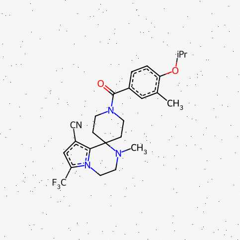 Cc1cc(C(=O)N2CCC3(CC2)c2c(C#N)cc(C(F)(F)F)n2CCN3C)ccc1OC(C)C